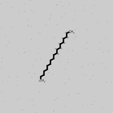 [CH2]CCCCCCCCCCCCCCCCCC